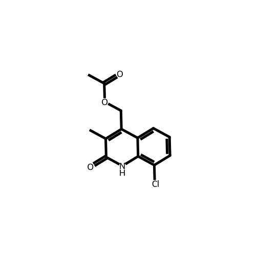 CC(=O)OCc1c(C)c(=O)[nH]c2c(Cl)cccc12